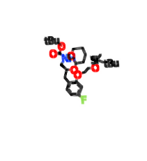 CC(C)(C)OC(=O)NC[C@H](Cc1ccc(F)cc1OCCO[Si](C)(C)C(C)(C)C)OC1CCCCO1